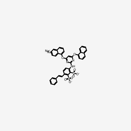 O=S(=O)([O-])c1c(C=Cc2ccccc2)ccc(Nc2nc(Oc3cccc4ccccc34)cc(Oc3cccc4ccccc34)n2)c1S(=O)(=O)[O-].[Na+].[Na+]